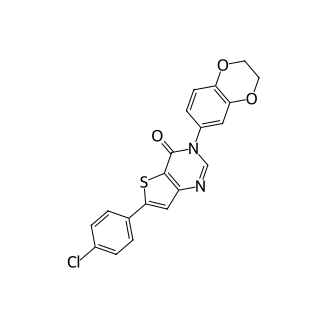 O=c1c2sc(-c3ccc(Cl)cc3)cc2ncn1-c1ccc2c(c1)OCCO2